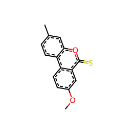 COc1ccc2c(c1)c(=S)oc1cc(C)ccc12